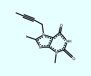 CC#CCn1c(I)nc2c1c(=O)[nH]c(=O)n2C